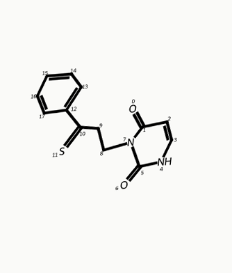 O=c1cc[nH]c(=O)n1CCC(=S)c1ccccc1